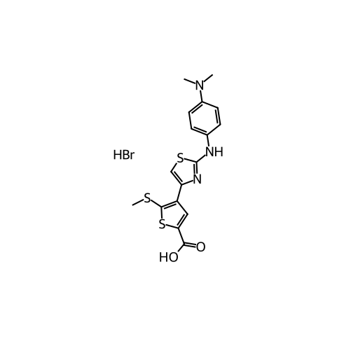 Br.CSc1sc(C(=O)O)cc1-c1csc(Nc2ccc(N(C)C)cc2)n1